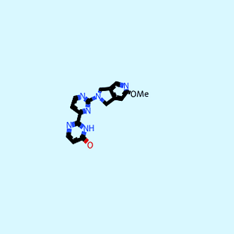 COc1cc2c(cn1)CN(c1nccc(-c3nccc(=O)[nH]3)n1)C2